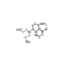 Nc1ccc(N(CCO)CCO)c2ncc[n+]([O-])c12